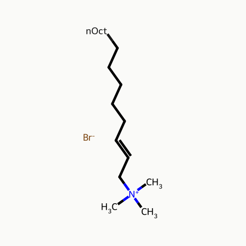 CCCCCCCCCCCCCC=CC[N+](C)(C)C.[Br-]